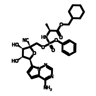 C[C@H](NP(=O)(OC[C@@]1(C#N)O[C@@H](c2ccc3c(N)ncnn23)[C@H](O)[C@@H]1O)Oc1ccccc1)C(=O)OCC1CCCCC1